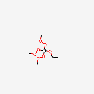 CC[O][Ti]([O]OC)([O]OC)[O]OC